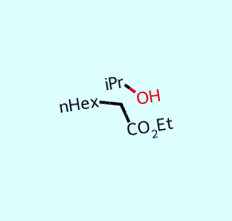 CC(C)O.CCCCCCCC(=O)OCC